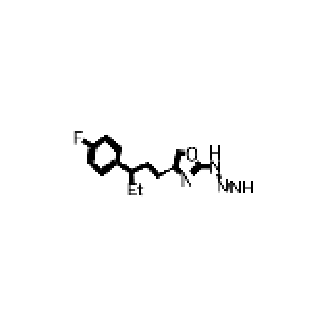 CCC(CC[C@H]1COC(NN=N)=N1)c1ccc(F)cc1